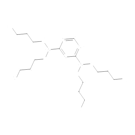 CCCCSN(SCCCC)c1ncnc(N(SCCCC)SCCCC)n1